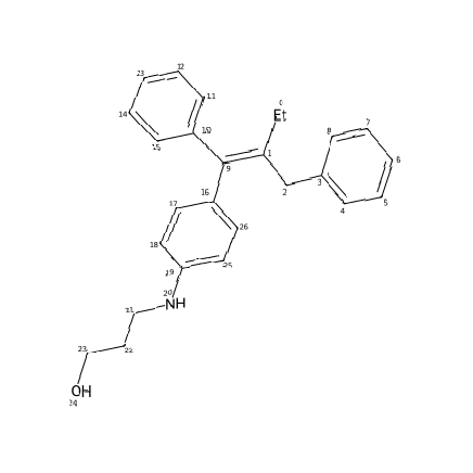 CC/C(Cc1ccccc1)=C(\c1ccccc1)c1ccc(NCCCO)cc1